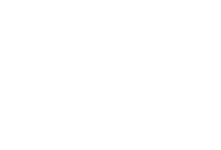 CC1(C)C=CC=C(c2cccc3[nH]ccc23)C=C1